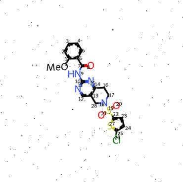 COc1ccccc1C(=O)Nc1ncc2c(n1)CCN(S(=O)(=O)c1ccc(Cl)s1)C2